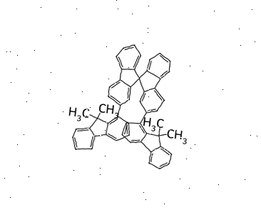 CC1(C)c2ccccc2-c2cccc(-c3ccc4c(c3)C3(c5ccccc5-4)c4ccccc4-c4ccc(-c5cccc6c5C(C)(C)c5ccccc5-6)cc43)c21